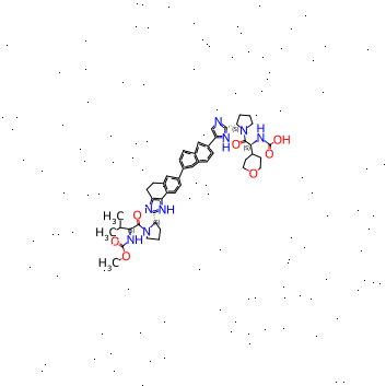 COC(=O)N[C@H](C(=O)N1CCC[C@H]1c1nc2c([nH]1)-c1ccc(-c3ccc4cc(-c5cnc([C@@H]6CCCN6C(=O)[C@@H](NC(=O)O)C6CCOCC6)[nH]5)ccc4c3)cc1CC2)C(C)C